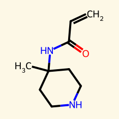 C=CC(=O)NC1(C)CCNCC1